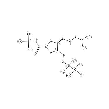 CC(C)CNC[C@@H]1CN(C(=O)OC(C)(C)C)C[C@H]1CO[Si](C)(C)C(C)(C)C